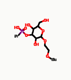 CC(C)P(=O)(O)OC1C(O)C(CO)OC(OCCOC(C)(C)C)C1O